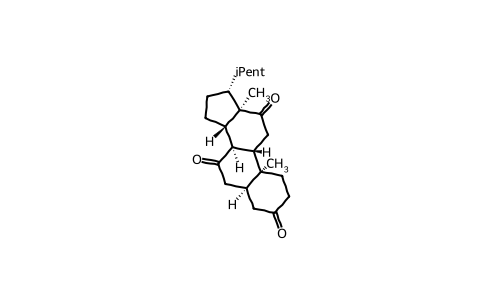 CCCC(C)[C@H]1CC[C@H]2[C@@H]3C(=O)C[C@@H]4CC(=O)CC[C@]4(C)[C@H]3CC(=O)[C@]12C